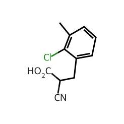 Cc1cccc(CC(C#N)C(=O)O)c1Cl